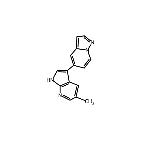 Cc1cnc2[nH]cc(-c3ccn4nccc4c3)c2c1